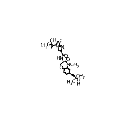 CN1C(=O)[C@@H](NC(=O)c2cn3c(C4CC4(C)C)csc3n2)COc2ccc(C#CC(C)(C)O)cc21